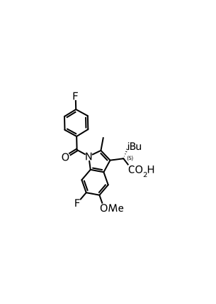 CCC(C)[C@H](C(=O)O)c1c(C)n(C(=O)c2ccc(F)cc2)c2cc(F)c(OC)cc12